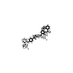 COC(=O)[C@@H]1COCCN1Cc1ccc(-c2ncc(CNC(=O)c3ccc4c(c3C)NC(=O)c3ccccc3S4(=O)=O)s2)cc1